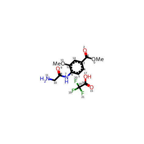 COC(=O)c1ccc(NC(=O)CN)c(OC)c1.O=C(O)C(F)(F)F